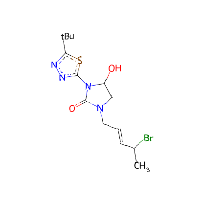 CC(Br)C=CCN1CC(O)N(c2nnc(C(C)(C)C)s2)C1=O